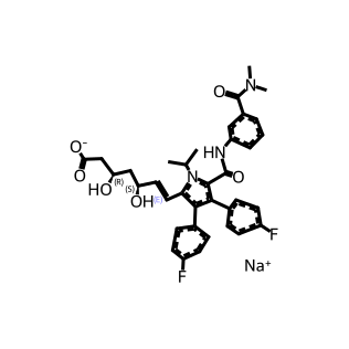 CC(C)n1c(/C=C/[C@@H](O)C[C@@H](O)CC(=O)[O-])c(-c2ccc(F)cc2)c(-c2ccc(F)cc2)c1C(=O)Nc1cccc(C(=O)N(C)C)c1.[Na+]